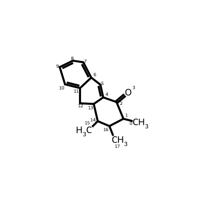 CC1C(=O)C2=Cc3ccccc3CC2C(C)C1C